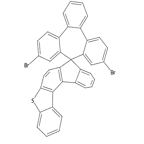 Brc1ccc2c(c1)C1(c3cc(Br)ccc3-c3ccccc3-2)c2ccccc2-c2c1ccc1sc3ccccc3c21